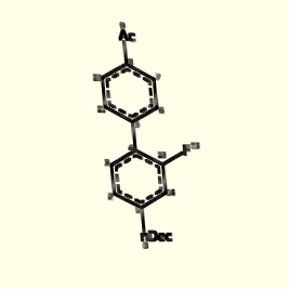 CCCCCCCCCCc1ccc(-c2ccc(C(C)=O)cc2)c(F)c1